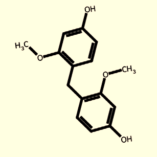 COc1cc(O)ccc1Cc1ccc(O)cc1OC